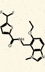 CCOc1ccc2ncn(C)c2c1CNC(=O)c1ccc(C(F)F)s1